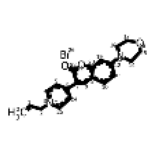 C=CC[n+]1ccc(-c2cc3ccc(N4CCOCC4)cc3oc2=O)cc1.[Br-]